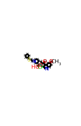 COc1ccc2ncc(Cl)c(C(=O)CC[C@H]3CCN(CCSC4CCCC4)C[C@H]3C(=O)O)c2c1